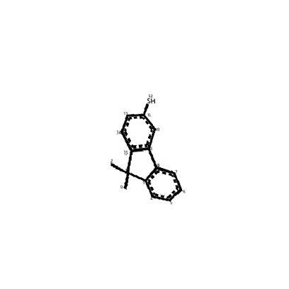 CC1(C)c2ccccc2-c2cc(S)ccc21